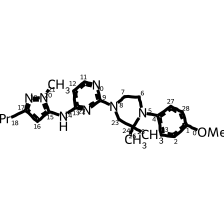 COc1ccc(N2CCN(c3nccc(Nc4cc(C(C)C)nn4C)n3)CC2(C)C)cc1